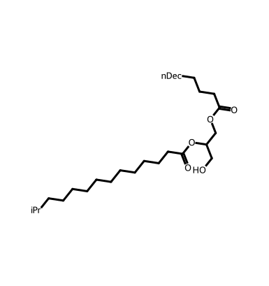 CCCCCCCCCCCCCC(=O)OCC(CO)OC(=O)CCCCCCCCCCCC(C)C